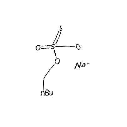 CCCCCOS(=O)([O-])=S.[Na+]